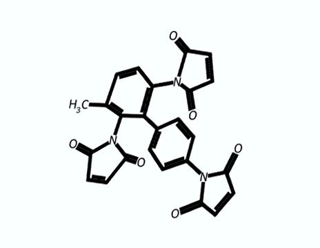 Cc1ccc(N2C(=O)C=CC2=O)c(-c2ccc(N3C(=O)C=CC3=O)cc2)c1N1C(=O)C=CC1=O